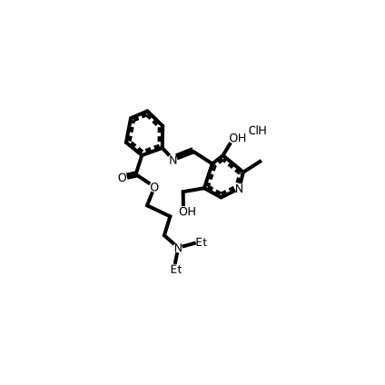 CCN(CC)CCCOC(=O)c1ccccc1N=Cc1c(CO)cnc(C)c1O.Cl